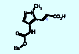 Cn1ncc(NC(=O)OC(C)(C)C)c1/C=C/C(=O)O